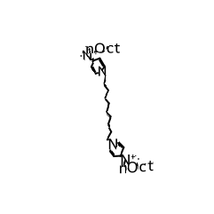 CCCCCCCC[N+]=c1ccn(CCCCCCCCCCn2ccc(=[N+]CCCCCCCC)cc2)cc1